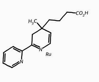 CC1(CCCC(=O)O)C=CN=C(c2ccccn2)C1.[Ru]